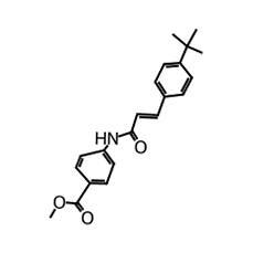 COC(=O)c1ccc(NC(=O)/C=C/c2ccc(C(C)(C)C)cc2)cc1